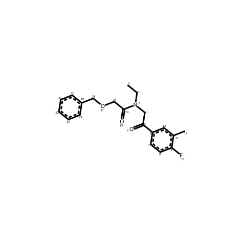 CCN(CC(=O)c1ccc(F)c(C)c1)C(=O)COCc1ccccc1